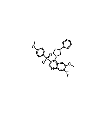 COc1ccc(S(=O)(=O)c2cnc3cc(OC)c(OC)cc3c2N2CCC(c3ccccc3)C2)cc1